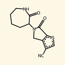 N#Cc1csc2c1CN(C1CCCCNC1=O)C2=O